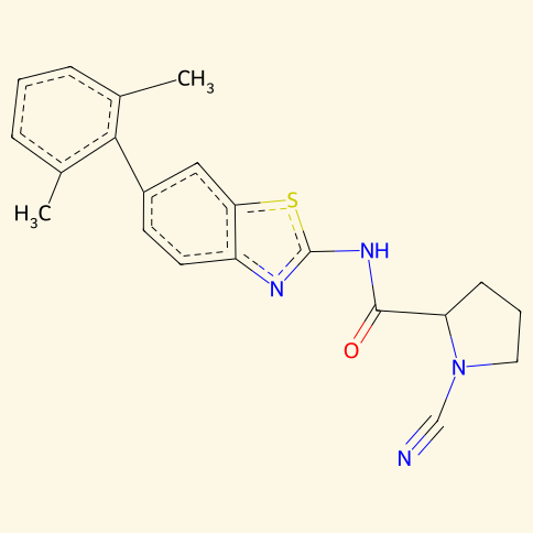 Cc1cccc(C)c1-c1ccc2nc(NC(=O)C3CCCN3C#N)sc2c1